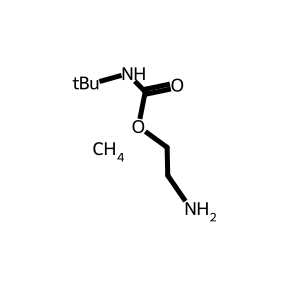 C.CC(C)(C)NC(=O)OCCN